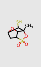 CC12OS(=O)(=O)C3CC(OC31)C2S